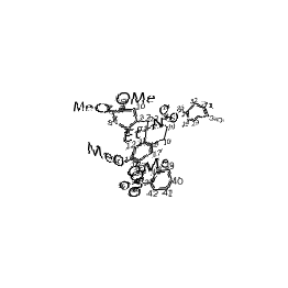 CC[C@@]1(Cc2ccc(OC)c(OC)c2)c2cc(OC)c(OC)cc2CC[N+]1(C)C(=O)OCc1ccccc1.O=S(=O)([O-])c1ccccc1